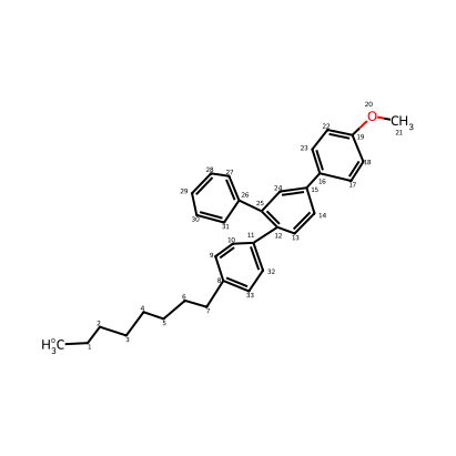 CCCCCCCCc1ccc(-c2ccc(-c3ccc(OC)cc3)cc2-c2ccccc2)cc1